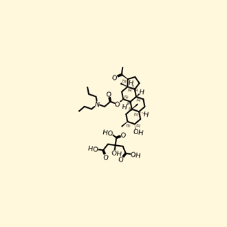 CCCN(CCC)CC(=O)O[C@H]1C[C@]2(C)[C@@H](C(C)=O)CC[C@H]2[C@@H]2CC[C@H]3C[C@H](O)[C@@H](C)C[C@]3(C)[C@H]21.O=C(O)CC(O)(CC(=O)O)C(=O)O